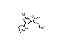 CC(=O)NCCC(c1cc(N2CCOC[C@@H]2C)nc(Cl)n1)[SH](=O)=O